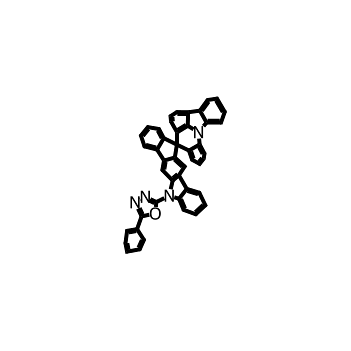 c1ccc(-c2nnc(-n3c4ccccc4c4cc5c(cc43)-c3ccccc3C53c4ccccc4-n4c5ccccc5c5cccc3c54)o2)cc1